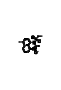 CCN(c1ccc(C)c2cccc([N+](=O)[O-])c12)S(=O)(=O)CC